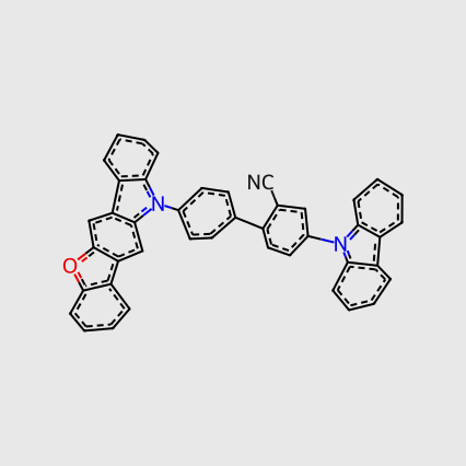 N#Cc1cc(-n2c3ccccc3c3ccccc32)ccc1-c1ccc(-n2c3ccccc3c3cc4oc5ccccc5c4cc32)cc1